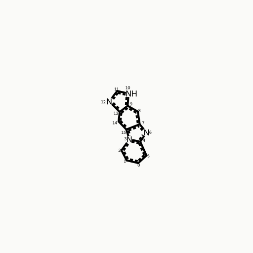 c1ccn2c(c1)nc1cc3[nH]cnc3cc12